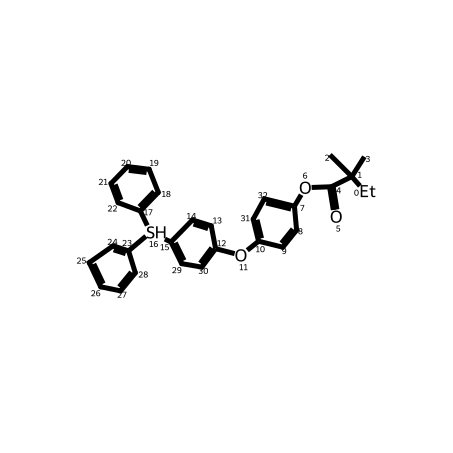 CCC(C)(C)C(=O)Oc1ccc(Oc2ccc([SH](c3ccccc3)c3ccccc3)cc2)cc1